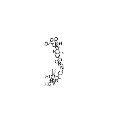 CCc1c2c(nc3ccc(OC(=O)N4CCN(Cc5ccc(/C(C(=N)c6cc(C(C)C)c(O)cc6O)=C(\C)N)cc5)CC4)cc13)/C(=C/C1=C(C=O)COC(=O)C1O)N(C)C2